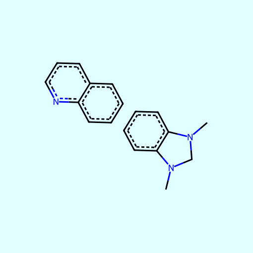 CN1CN(C)c2ccccc21.c1ccc2ncccc2c1